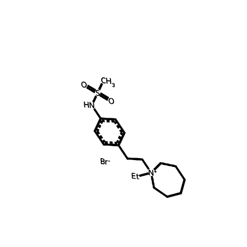 CC[N+]1(CCc2ccc(NS(C)(=O)=O)cc2)CCCCCC1.[Br-]